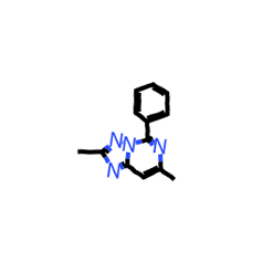 Cc1cc2nc(C)nn2c(-c2ccccc2)n1